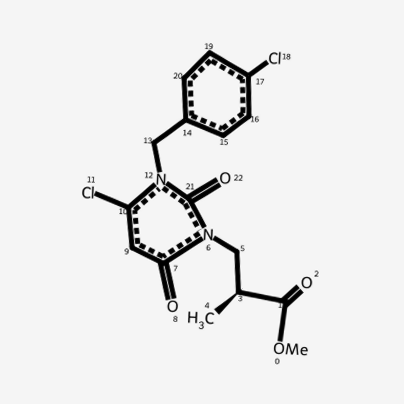 COC(=O)[C@@H](C)Cn1c(=O)cc(Cl)n(Cc2ccc(Cl)cc2)c1=O